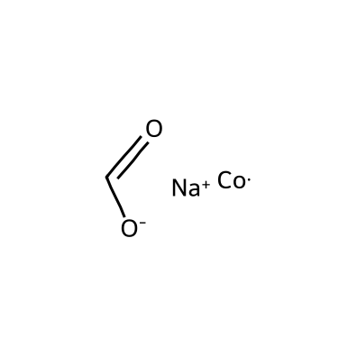 O=C[O-].[Co].[Na+]